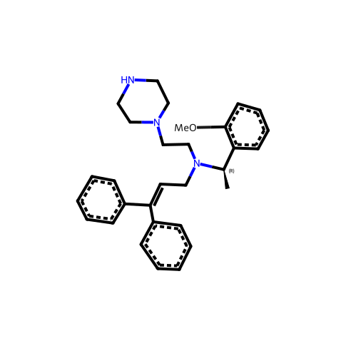 COc1ccccc1[C@@H](C)N(CC=C(c1ccccc1)c1ccccc1)CCN1CCNCC1